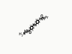 CCCC(=O)NCc1ccc(N=Nc2ccc(C(=O)NCCN)cc2)cc1